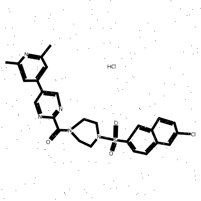 Cc1cc(-c2cnc(C(=O)N3CCN(S(=O)(=O)c4ccc5cc(Cl)ccc5c4)CC3)nc2)cc(C)n1.Cl